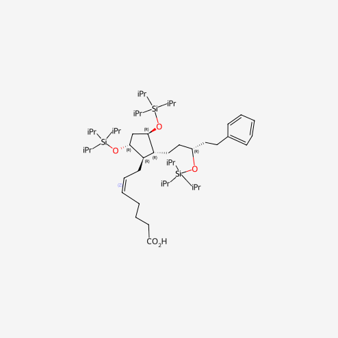 CC(C)[Si](O[C@@H](CCc1ccccc1)CC[C@@H]1[C@@H](C/C=C\CCCC(=O)O)[C@H](O[Si](C(C)C)(C(C)C)C(C)C)C[C@H]1O[Si](C(C)C)(C(C)C)C(C)C)(C(C)C)C(C)C